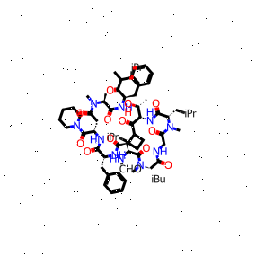 CC[C@H](C)[C@@H](C(=O)NCC(=O)N(C)[C@@H](CC(C)C)C(=O)N[C@H](C(=O)C1CC[C@H]1C(=O)N[C@H](Cc1ccccc1)C(=O)N[C@@H](CC(=O)N(C)[C@@H](C)C(=O)N[C@H](Cc1ccccc1)C(=O)C(C)CC(C)C)C(=O)N1CCCCC1)[C@@H](C)O)N(C)C(=O)[C@H](CC(C)C)NC=O